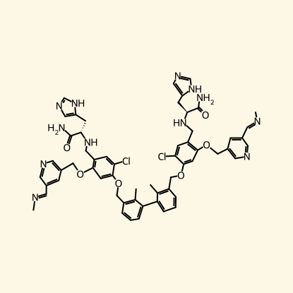 C/N=C/c1cncc(COc2cc(OCc3cccc(-c4cccc(COc5cc(OCc6cncc(/C=N/C)c6)c(CN[C@@H](Cc6cnc[nH]6)C(N)=O)cc5Cl)c4C)c3C)c(Cl)cc2CN[C@@H](Cc2cnc[nH]2)C(N)=O)c1